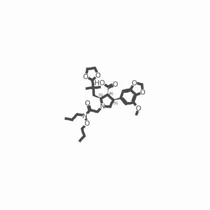 CCCON(CCC)C(=O)CN1C[C@H](c2cc(OC)c3c(c2)OCO3)[C@@H](C(=O)O)[C@@H]1CC(C)(C)C1OCCO1